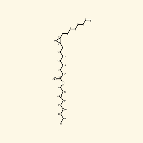 CCCCCCCCC1CC1CCCCCCCC(=O)OCCOCCOCCC